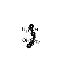 CCC[N+](C=O)(CCOc1ccc(C(=O)Nc2ccccc2N)cc1)c1cc2ccccc2o1